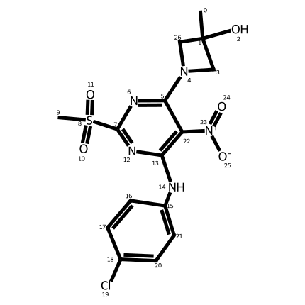 CC1(O)CN(c2nc(S(C)(=O)=O)nc(Nc3ccc(Cl)cc3)c2[N+](=O)[O-])C1